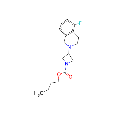 CCCCOC(=O)N1CC(N2CCc3c(F)cccc3C2)C1